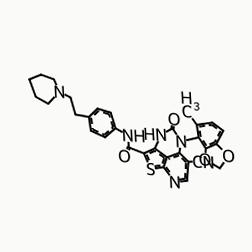 Cc1ccc2c(c1N1C(=O)Nc3c(C(=O)Nc4ccc(CCN5CCCCC5)cc4)sc4ncc(C#N)c1c34)OCO2